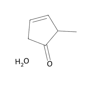 CC1C=CCC1=O.O